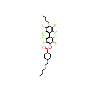 CCCCCCC1CCC(C(=O)Oc2c(F)c(F)c(-c3c(F)c(F)c(CCCC)c(F)c3F)c(F)c2F)CC1